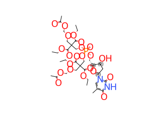 CCOC(=O)C(COCOC(C)=O)(COP(=O)(OC[C@H]1O[C@@H](n2cc(C)c(=O)[nH]c2=O)C[C@H]1O)OCC(COCOC(C)=O)(C(=O)OCC)C(=O)OCC)C(=O)OCC